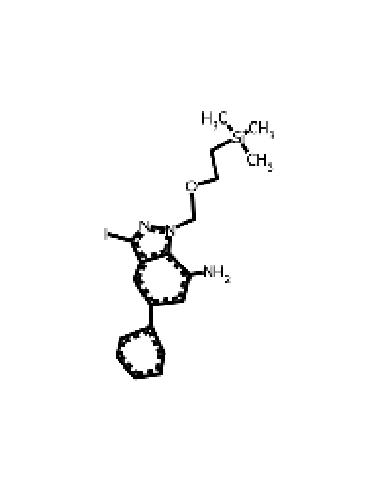 C[Si](C)(C)CCOCn1nc(I)c2cc(-c3ccccc3)cc(N)c21